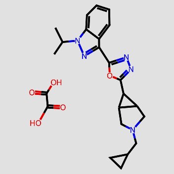 CC(C)n1nc(-c2nnc(C3C4CN(CC5CC5)CC43)o2)c2ccccc21.O=C(O)C(=O)O